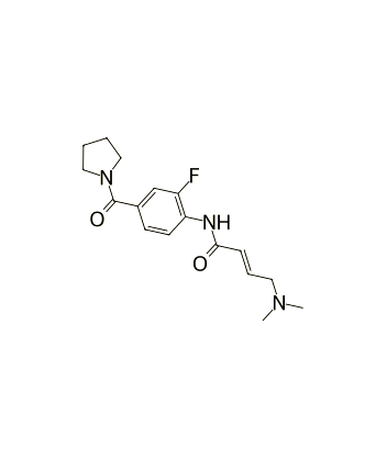 CN(C)C/C=C/C(=O)Nc1ccc(C(=O)N2CCCC2)cc1F